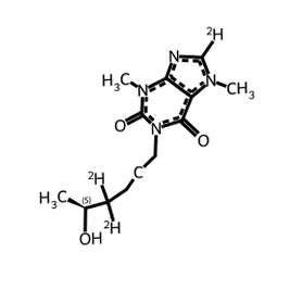 [2H]c1nc2c(c(=O)n(CCCC([2H])([2H])[C@H](C)O)c(=O)n2C)n1C